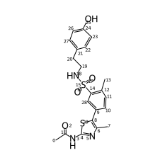 CC(=O)Nc1nc(C)c(-c2ccc(C)c(S(=O)(=O)NCCc3ccc(O)cc3)c2)s1